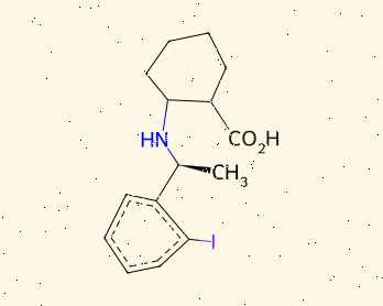 C[C@H](NC1CCCCC1C(=O)O)c1ccccc1I